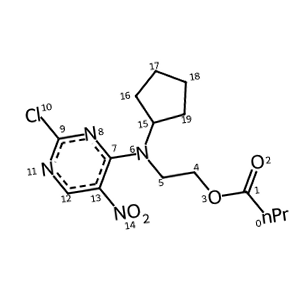 CCCC(=O)OCCN(c1nc(Cl)ncc1[N+](=O)[O-])C1CCCC1